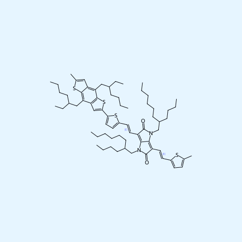 CCCCCCC(CCCC)CN1C(=O)C(/C=C/c2ccc(-c3cc4c(CC(CC)CCCC)c5sc(C)cc5c(CC(CC)CCCC)c4s3)s2)=C2C1=C(/C=C/c1ccc(C)s1)C(=O)N2CC(CCCC)CCCCCC